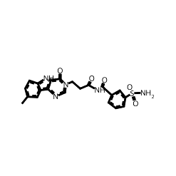 Cc1ccc2[nH]c3c(=O)n(CCC(=O)NC(=O)c4cccc(S(N)(=O)=O)c4)cnc3c2c1